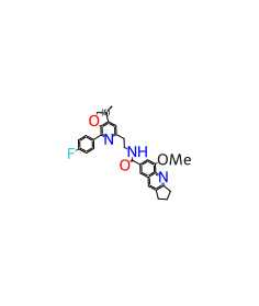 COc1cc(C(=O)NCCc2cc3c(c(-c4ccc(F)cc4)n2)OC[C@H]3C)cc2cc3c(nc12)CCC3